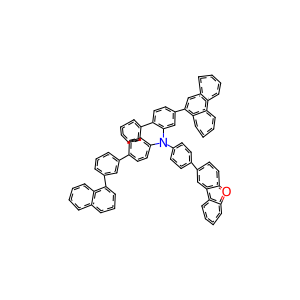 c1ccc(-c2ccc(-c3cc4ccccc4c4ccccc34)cc2N(c2ccc(-c3cccc(-c4cccc5ccccc45)c3)cc2)c2ccc(-c3ccc4oc5ccccc5c4c3)cc2)cc1